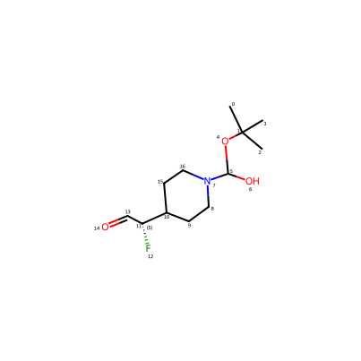 CC(C)(C)OC(O)N1CCC([C@H](F)C=O)CC1